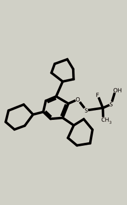 CC(F)(SO)SOc1c(C2CCCCC2)cc(C2CCCCC2)cc1C1CCCCC1